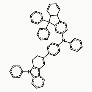 C1=CC2c3ccc(N(c4ccccc4)c4ccc(C5=Cc6c(n(-c7ccccc7)c7ccccc67)CC5)cc4)cc3C(c3ccccc3)(c3ccccc3)C2C=C1